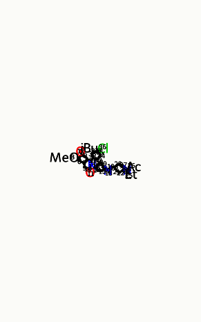 CCC(C)Oc1cc2c(cc1OC)CC(=O)N(c1ccc(N(C)CC3CCC(N(CC)C(C)=O)CC3)cc1)C2c1ccc(Cl)cc1